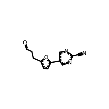 N#Cc1ncc(-c2ccc(CCC=O)o2)cn1